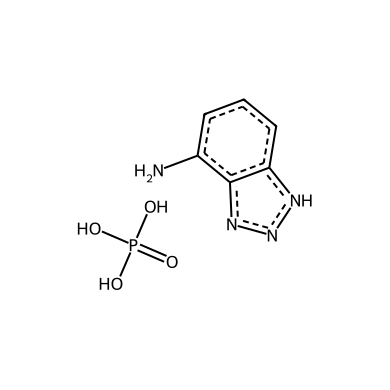 Nc1cccc2[nH]nnc12.O=P(O)(O)O